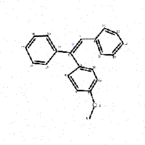 COc1ccc(/C(=C\c2ccccc2)c2ccccc2)cc1